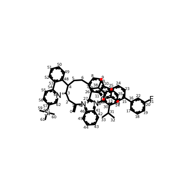 C=C1CC2C(CCc3ccc4c(oc5cc(-c6cccc(F)c6)ccc54)c3-c3n(-c4c(C(C)C)cccc4C(C)C)c4ccccc4[n+]31)c1ccccc1-c1ccc([Si](C)(C)C)c[n+]12